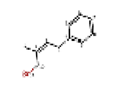 CC(=CCc1[c]cccc1)CBr